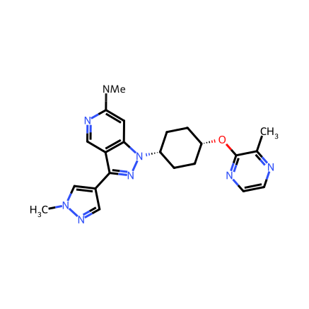 CNc1cc2c(cn1)c(-c1cnn(C)c1)nn2[C@H]1CC[C@@H](Oc2nccnc2C)CC1